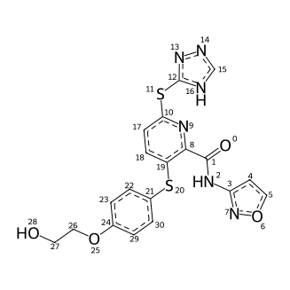 O=C(Nc1ccon1)c1nc(Sc2nnc[nH]2)ccc1Sc1ccc(OCCO)cc1